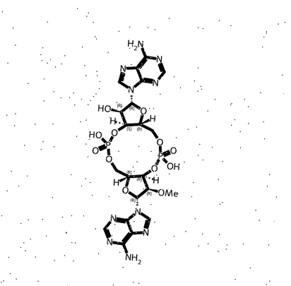 CO[C@@H]1[C@@H]2OP(=O)(O)OC[C@H]3O[C@@H](n4cnc5c(N)ncnc54)[C@H](O)[C@@H]3OP(=O)(O)OC[C@H]2O[C@H]1n1cnc2c(N)ncnc21